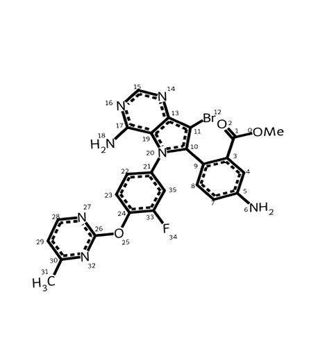 COC(=O)c1cc(N)ccc1-c1c(Br)c2ncnc(N)c2n1-c1ccc(Oc2nccc(C)n2)c(F)c1